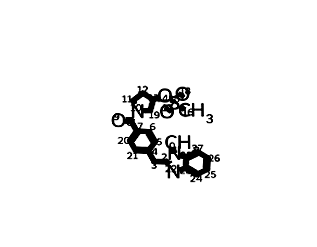 Cn1c(Cc2ccc(C(=O)N3CCC(OS(C)(=O)=O)C3)cc2)nc2ccccc21